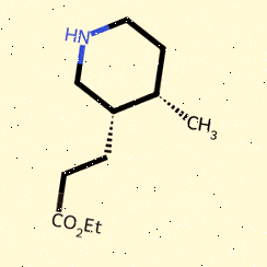 CCOC(=O)CC[C@@H]1CNCC[C@@H]1C